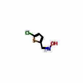 O/N=C\c1ccc(Cl)s1